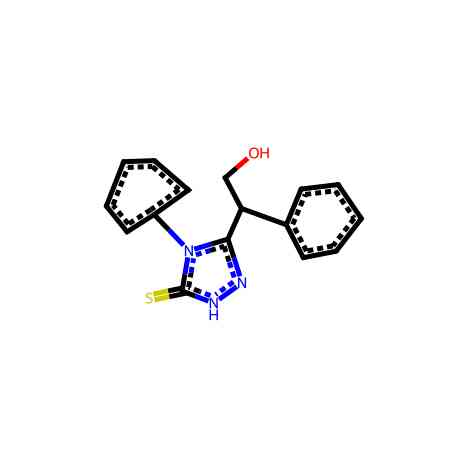 OCC(c1ccccc1)c1n[nH]c(=S)n1-c1ccccc1